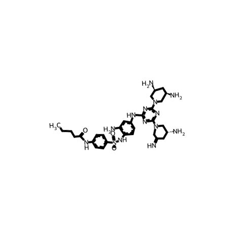 CCCCC(=O)Nc1ccc(S(=O)(=O)Nc2ccc(Nc3nc(N4CC(=N)C[C@@H](N)C4)nc(N4C[C@H](N)C[C@H](N)C4)n3)cc2N)cc1